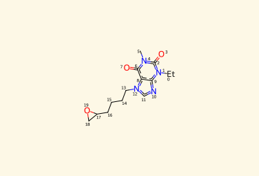 CCn1c(=O)n(C)c(=O)c2c1ncn2CCCCC1CO1